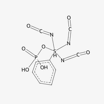 O=C=N[SH](N=C=O)(N=C=O)(OP(=O)(O)O)c1ccccc1